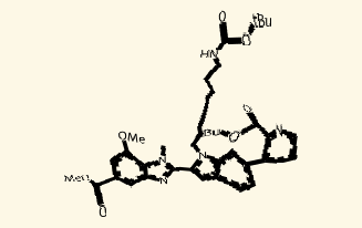 COC(=O)c1cc(OC)c2c(c1)nc(-c1cc3ccc(-c4cccnc4C(=O)OC(C)(C)C)cc3n1CCCCCCNC(=O)OC(C)(C)C)n2C